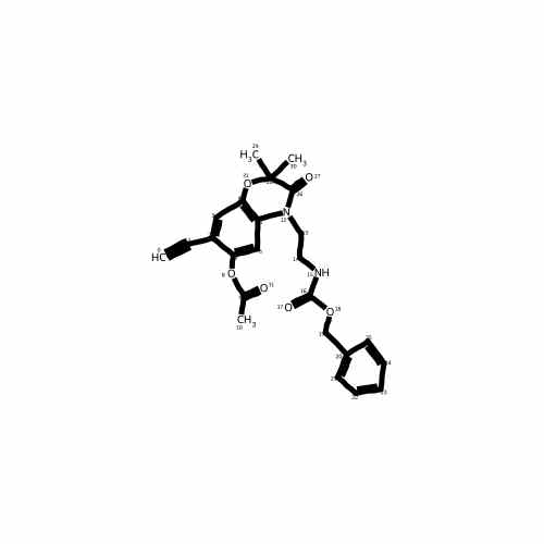 C#Cc1cc2c(cc1OC(C)=O)N(CCNC(=O)OCc1ccccc1)C(=O)C(C)(C)O2